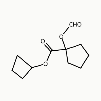 O=COC1(C(=O)OC2CCC2)CCCC1